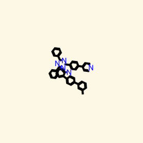 Cc1cccc(-c2ccc3c4ccccc4n(-c4cc(-c5ccncc5)ccc4-c4nc(-c5ccccc5)nc(-c5ccccc5)n4)c3c2)c1